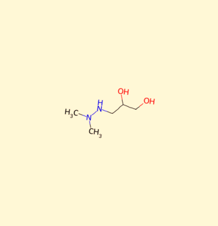 CN(C)NCC(O)CO